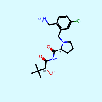 CC(C)(C)[C@@H](O)C(=O)NC(=O)[C@@H]1CCCN1Cc1cc(Cl)ccc1CN